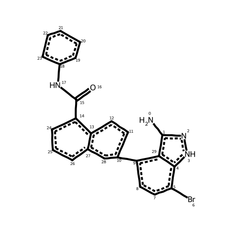 Nc1n[nH]c2c(Br)ccc(-c3ccc4c(C(=O)Nc5ccccc5)cccc4c3)c12